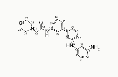 Nc1cccc(Nc2nccc(-c3cccc(NC(=O)CN4CCOCC4)c3)n2)c1